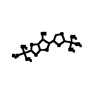 CC(C)(C)C1OCC(C2OC3OC(C(C)(C)C)OC3C2O)O1